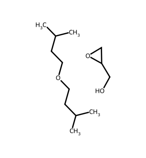 CC(C)CCOCCC(C)C.OCC1CO1